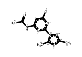 CC(=O)Nc1cc(Cl)nc(-n2nc(C)nc2C)n1